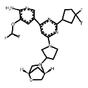 Nc1ncc(-c2cc(N3CCC(N4C[C@@H]5C[C@H]4CO5)C3)nc(C3CCC(F)(F)C3)n2)cc1OC(F)F